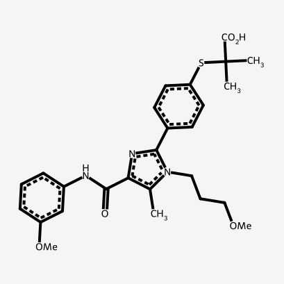 COCCCn1c(-c2ccc(SC(C)(C)C(=O)O)cc2)nc(C(=O)Nc2cccc(OC)c2)c1C